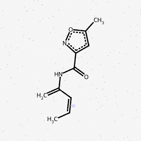 C=C(/C=C\C)NC(=O)c1cc(C)on1